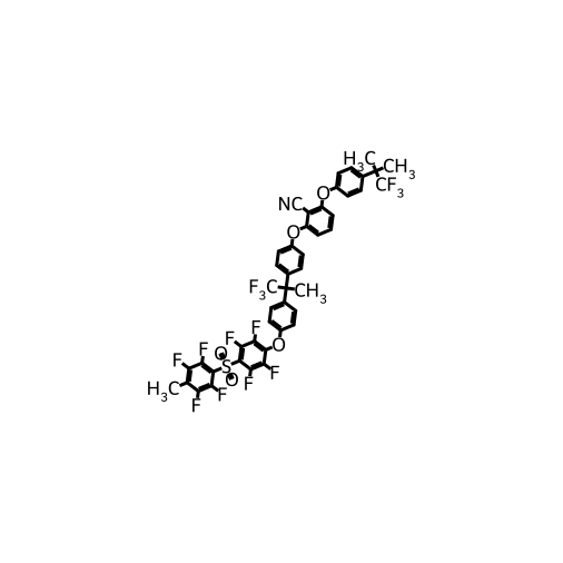 Cc1c(F)c(F)c(S(=O)(=O)c2c(F)c(F)c(Oc3ccc(C(C)(c4ccc(Oc5cccc(Oc6ccc(C(C)(C)C(F)(F)F)cc6)c5C#N)cc4)C(F)(F)F)cc3)c(F)c2F)c(F)c1F